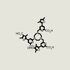 Cc1cc(C)c(-c2cc(CN3CCN(Cc4cc(-c5oc(C)c(C=O)c5C)cc(C(=O)O)n4)CCN(c4cc(-c5oc(C)c(C(=O)O)c5C)cc(C(=O)O)n4)CC3)nc(C(=O)O)c2)o1